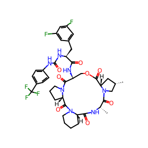 C[C@H]1C[C@H]2C(=O)OC[C@H](NC(=O)[C@H](Cc3cc(F)cc(F)c3)NC(=O)Nc3ccc(C(F)(F)F)cc3)C(=O)N3CCC[C@H]3C(=O)N3CCCC[C@H]3C(=O)N[C@@H](C)C(=O)N2C1